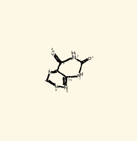 O=c1[nH]c(=O)c2ncnnc2[nH]1